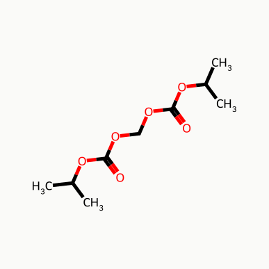 CC(C)OC(=O)OCOC(=O)OC(C)C